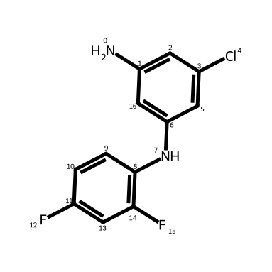 Nc1cc(Cl)cc(Nc2ccc(F)cc2F)c1